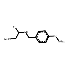 CCCCCCOc1ccc(CNC(CC)COC)cc1